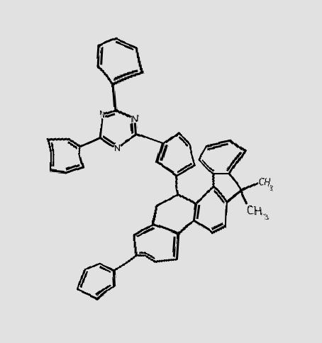 CC1(C)c2ccccc2-c2c1ccc1c2C(c2cccc(-c3nc(-c4ccccc4)nc(-c4ccccc4)n3)c2)Cc2cc(-c3ccccc3)ccc2-1